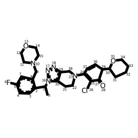 CC(c1ccc(F)cc1CN1CCOCC1)n1nnc2c1CCN(C1=C(Cl)C(=O)C(C3CCCCO3)C=C1)C2